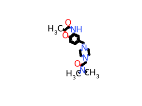 CC1Oc2ccc(CN3CCN(CC(=O)N(C)C)CC3)cc2NC1=O